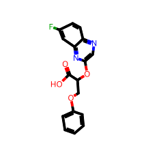 O=C(O)C(COc1ccccc1)Oc1cnc2ccc(F)cc2n1